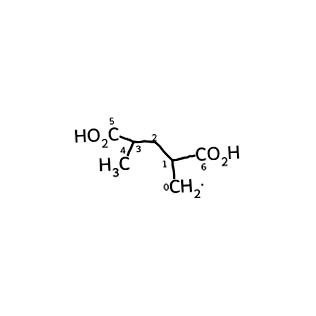 [CH2]C(CC(C)C(=O)O)C(=O)O